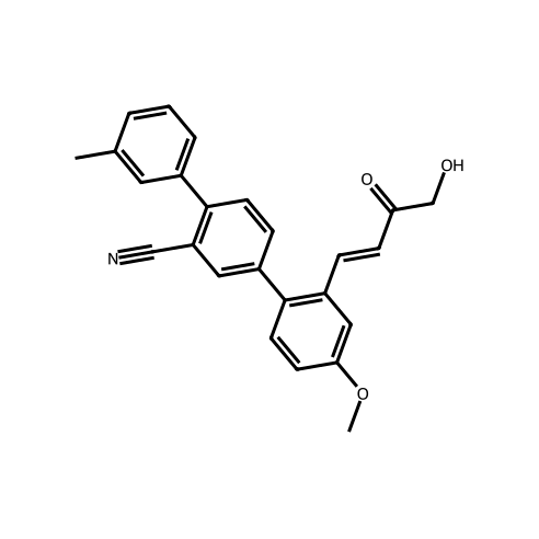 COc1ccc(-c2ccc(-c3cccc(C)c3)c(C#N)c2)c(/C=C/C(=O)CO)c1